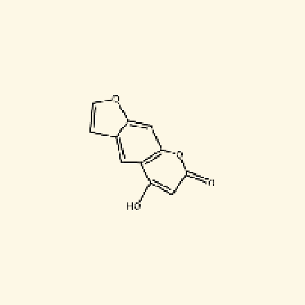 O=c1cc(O)c2cc3ccoc3cc2o1